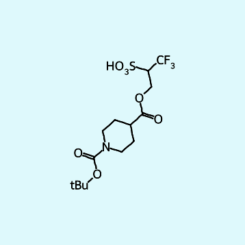 CC(C)(C)OC(=O)N1CCC(C(=O)OCC(C(F)(F)F)S(=O)(=O)O)CC1